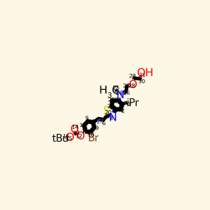 CC(C)c1cc2nc(/C=C/c3ccc(OC(=O)OC(C)(C)C)c(Br)c3)sc2cc1N(C)CCOCCO